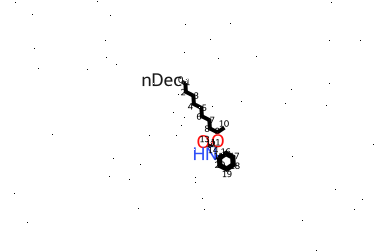 CCCCCCCCCCCCCCCCCCC(C)OC(=O)Nc1ccccc1